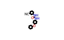 N#Cc1cccc(NC(=O)Nc2ccc(Oc3ccccc3)cc2)c1